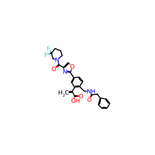 C=C(C(=O)O)c1cc(-c2nc(C(=O)N3CCCC(F)(F)C3)co2)ccc1CNC(=O)Cc1ccccc1